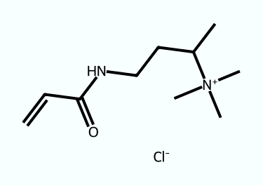 C=CC(=O)NCCC(C)[N+](C)(C)C.[Cl-]